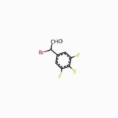 O=CC(Br)c1cc(F)c(F)c(F)c1